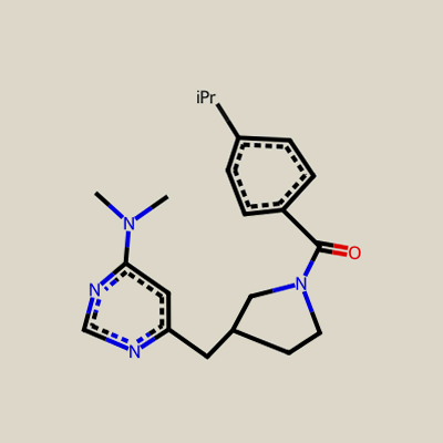 CC(C)c1ccc(C(=O)N2CCC(Cc3cc(N(C)C)ncn3)C2)cc1